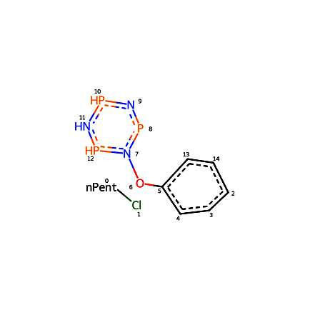 CCCCCCl.c1ccc(On2pn[pH][nH][pH]2)cc1